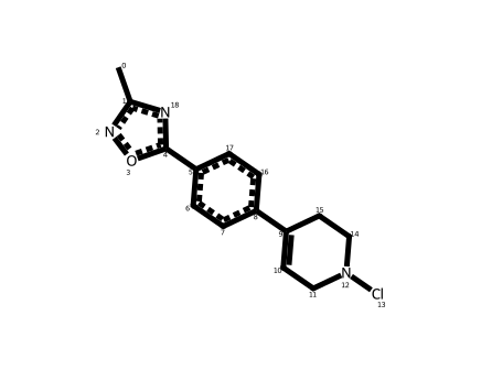 Cc1noc(-c2ccc(C3=CCN(Cl)CC3)cc2)n1